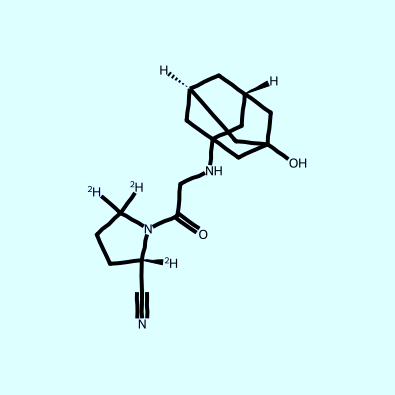 [2H]C1([2H])CC[C@@]([2H])(C#N)N1C(=O)CNC12C[C@@H]3C[C@@H](CC(O)(C3)C1)C2